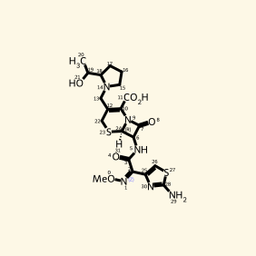 CO/N=C(\C(=O)NC1C(=O)N2C(C(=O)O)=C(CN3CCCC3C(C)O)CS[C@H]12)c1csc(N)n1